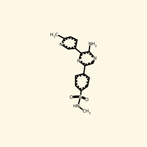 CNS(=O)(=O)c1ccc(-c2cnc(N)c(-c3ccc(C)nc3)n2)cc1